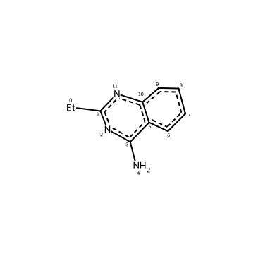 CCc1nc(N)c2ccccc2n1